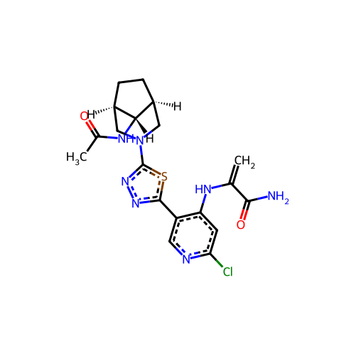 C=C(Nc1cc(Cl)ncc1-c1nnc(N2C[C@H]3CC[C@@H](C2)[C@@H]3NC(C)=O)s1)C(N)=O